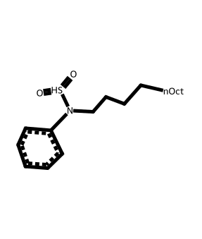 CCCCCCCCCCCCN(c1ccccc1)[SH](=O)=O